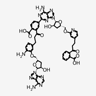 Nc1ccc(CCC(=O)c2cc(-c3nc(N)c4ncn([C@@H]5O[C@H](COc6cc(CCC(=O)c7ccccc7C(=O)O)ccn6)C[C@H]5O)c4n3)ccc2C(=O)O)cc1OC[C@@H]1C[C@@H](O)[C@H](n2cnc3c(N)ncnc32)O1